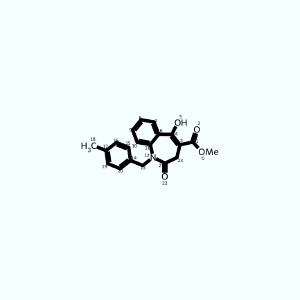 COC(=O)C1=C(O)c2ccccc2N(Cc2ccc(C)cc2)C(=O)C1